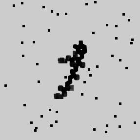 Cc1ccc(C[C@H](NC(=O)OC(C)(C)C)C(=O)OCOC(=O)CCCNC(=O)OC(C)(C)C)cc1C